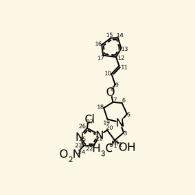 C[C@](O)(CN1CCC(OCC=Cc2ccccc2)CC1)Cn1cc([N+](=O)[O-])nc1Cl